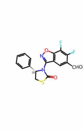 O=Cc1cc2c(N3C(=O)SC[C@@H]3c3ccccc3)noc2c(F)c1F